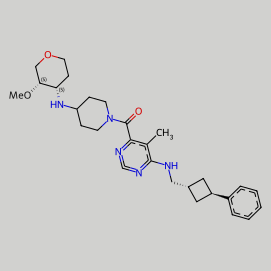 CO[C@@H]1COCC[C@@H]1NC1CCN(C(=O)c2ncnc(NC[C@H]3C[C@H](c4ccccc4)C3)c2C)CC1